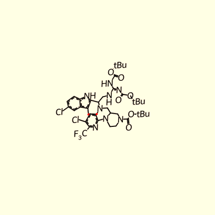 CC(C)(C)OC(=O)/N=C(\NCC1c2[nH]c3ccc(Cl)cc3c2CCN1CC1CN(C(=O)OC(C)(C)C)CCN1c1ccc(Cl)c(C(F)(F)F)n1)NC(=O)OC(C)(C)C